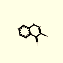 O=C1C(Br)=CCc2ccccc21